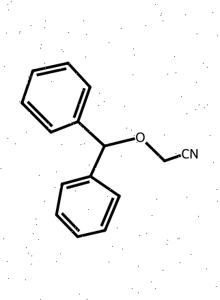 N#CCOC(c1ccccc1)c1ccccc1